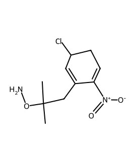 CC(C)(CC1=CC(Cl)CC=C1[N+](=O)[O-])ON